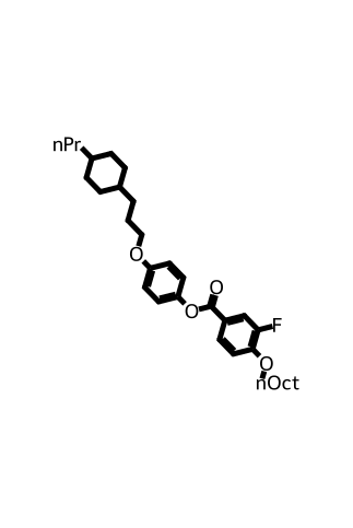 CCCCCCCCOc1ccc(C(=O)Oc2ccc(OCCCC3CCC(CCC)CC3)cc2)cc1F